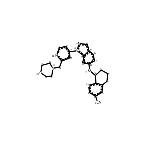 N#Cc1cnc2c(c1)CCCC2Oc1ccc2cnn(-c3ccnc(CN4CCOCC4)c3)c2c1